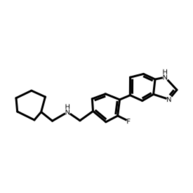 Fc1cc(CNCC2CCCCC2)ccc1-c1ccc2[nH]cnc2c1